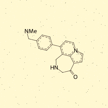 CNCc1ccc(-c2ccn3ccc4c3c2CNCC4=O)cc1